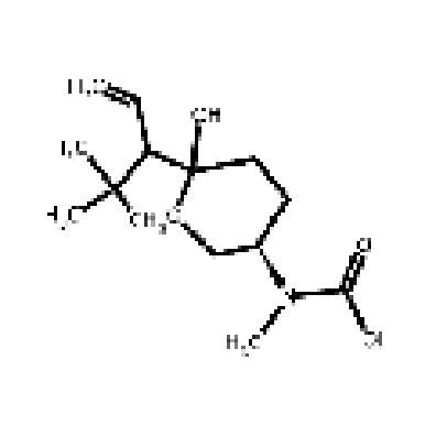 C=CC(C(C)(C)C)C1(O)CC[C@@H](N(C)C(=O)O)CO1